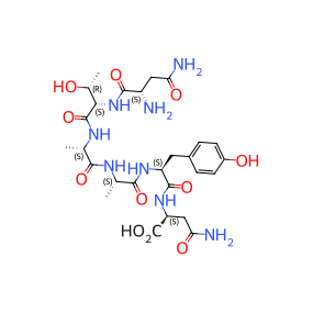 C[C@H](NC(=O)[C@H](C)NC(=O)[C@@H](NC(=O)[C@@H](N)CC(N)=O)[C@@H](C)O)C(=O)N[C@@H](Cc1ccc(O)cc1)C(=O)N[C@@H](CC(N)=O)C(=O)O